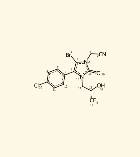 N#CCn1c(Br)c(-c2ccc(Cl)cc2)n(C[C@H](O)C(F)(F)F)c1=O